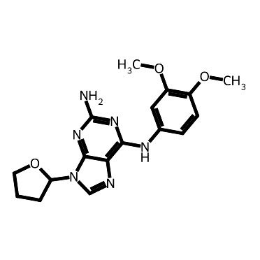 COc1ccc(Nc2nc(N)nc3c2ncn3C2CCCO2)cc1OC